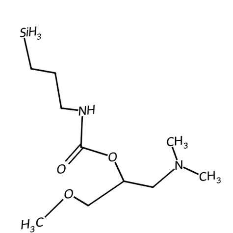 COCC(CN(C)C)OC(=O)NCCC[SiH3]